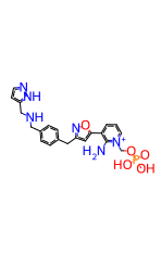 Nc1c(-c2cc(Cc3ccc(CNCc4ccn[nH]4)cc3)no2)ccc[n+]1COP(=O)(O)O